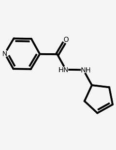 O=C(NNC1CC=CC1)c1ccncc1